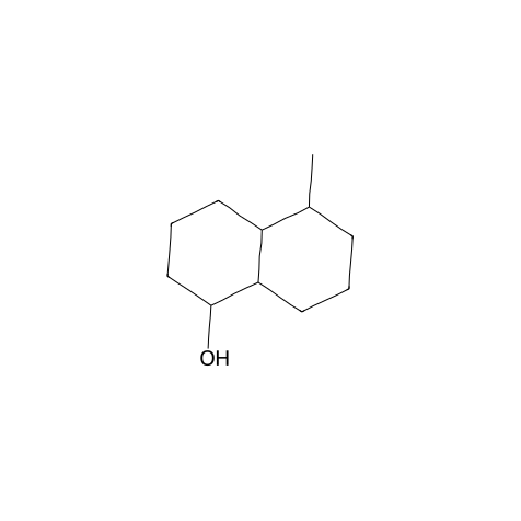 CC1CCCC2C(O)CCCC12